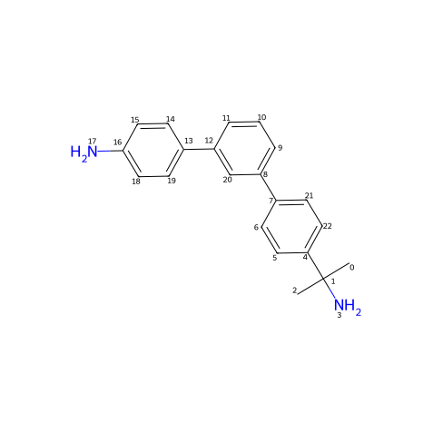 CC(C)(N)c1ccc(-c2cccc(-c3ccc(N)cc3)c2)cc1